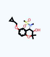 CN([C@H]1c2cc(OCC3CC3)ccc2OC(C)(C)[C@@H]1O)S(C)(=O)=O